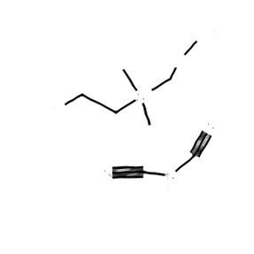 C[N+](C)(CCO)CCO.N#CNC#N